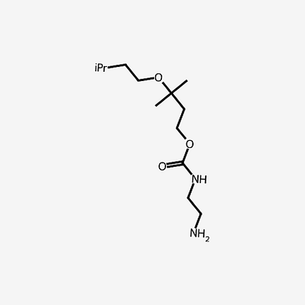 CC(C)CCOC(C)(C)CCOC(=O)NCCN